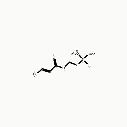 CC=CC(=O)OCO[Si](CC)(OC)OC